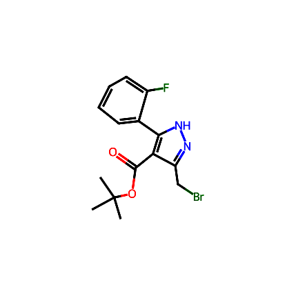 CC(C)(C)OC(=O)c1c(CBr)n[nH]c1-c1ccccc1F